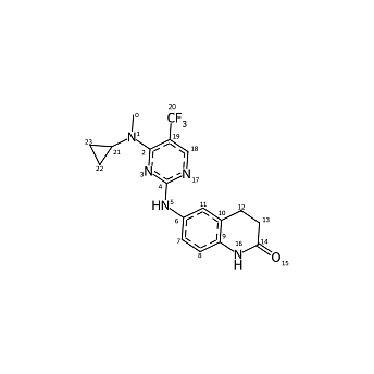 CN(c1nc(Nc2ccc3c(c2)CCC(=O)N3)ncc1C(F)(F)F)C1CC1